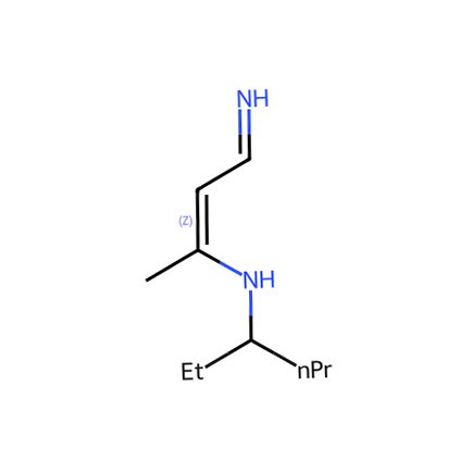 CCCC(CC)N/C(C)=C\C=N